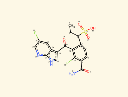 CCC(c1ccc(C(N)=O)c(F)c1C(=O)c1c[nH]c2ncc(F)cc12)S(=O)(=O)O